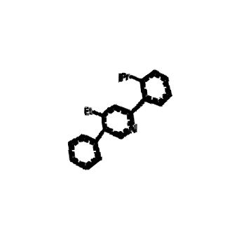 CCc1cc(-c2ccccc2C(C)C)ncc1-c1ccccc1